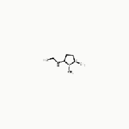 C[C@@H]1CCC(NCO)N1C